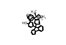 CCC(CC)c1cc(C2(c3ccc(O)c(C4(C(C)(CC)CC)CCCCC4)c3)c3ccccc3-c3ccccc32)ccc1O